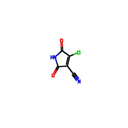 N#CC1=C(Cl)C(=O)NC1=O